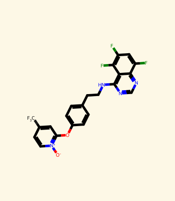 [O-][n+]1ccc(C(F)(F)F)cc1Oc1ccc(CCNc2ncnc3c(F)cc(F)c(F)c23)cc1